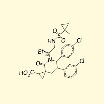 CC[C@@H](CNS(=O)(=O)C1(C)CC1)N1C(=O)C2(CC(c3cccc(Cl)c3)C1c1ccc(Cl)cc1)CC2C(=O)O